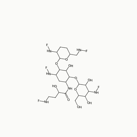 O=C(NC1CC(NF)C(OC2OC(CNF)CCC2NF)C(O)C1OC1OC(CO)C(O)C(NF)C1O)C(O)CCNF